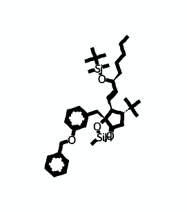 CCCCC[C@@H](/C=C/[C@H]1[C@H](C(C)(C)C)CC(=O)[C@]1(Cc1cccc(OCc2ccccc2)c1)O[SiH](C)C)O[Si](C)(C)C(C)(C)C